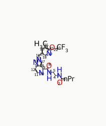 CCCC(=O)NCCNC(=O)c1nccc2nn(Cc3cnc(OCC(F)(F)F)c(C)c3)cc12